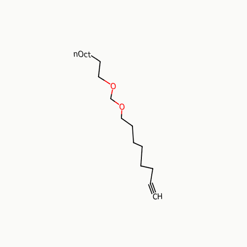 C#CCCCCCCOCOCCCCCCCCCC